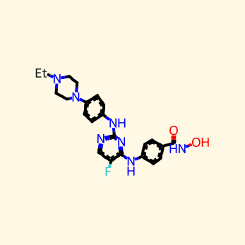 CCN1CCN(c2ccc(Nc3ncc(F)c(Nc4ccc(C(=O)NO)cc4)n3)cc2)CC1